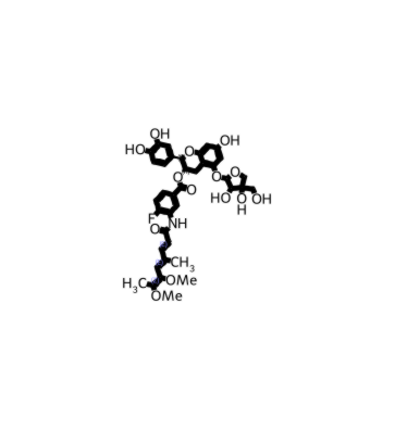 CO/C(C)=C(/C=C(C)/C=C/C(=O)Nc1cc(C(=O)O[C@@H]2Cc3c(OC4OCC(O)(CO)C4O)cc(O)cc3O[C@@H]2c2ccc(O)c(O)c2)ccc1F)OC